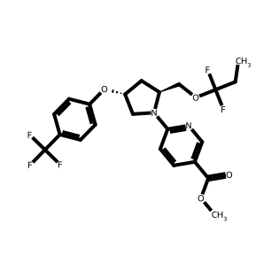 CCC(F)(F)OC[C@@H]1C[C@@H](Oc2ccc(C(F)(F)F)cc2)CN1c1ccc(C(=O)OC)cn1